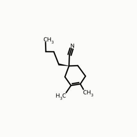 CCCC[C@@]1(C#N)CCC(C)=C(C)C1